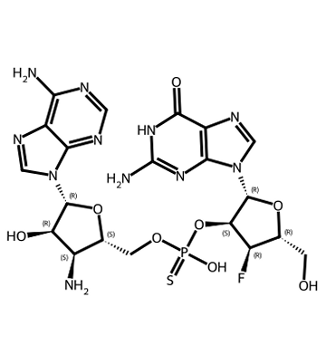 Nc1nc2c(ncn2[C@@H]2O[C@H](CO)[C@@H](F)[C@H]2OP(O)(=S)OC[C@H]2O[C@@H](n3cnc4c(N)ncnc43)[C@H](O)[C@@H]2N)c(=O)[nH]1